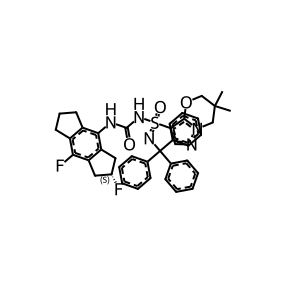 CC1(C)COc2c(S(=O)(=NC(c3ccccc3)(c3ccccc3)c3ccccc3)NC(=O)Nc3c4c(c(F)c5c3C[C@H](F)C5)CCC4)cnn2C1